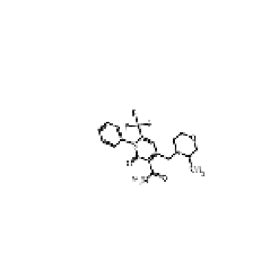 CC1COCCN1Cc1cc(C(F)(F)F)n(-c2ccccc2)c(=O)c1C(N)=O